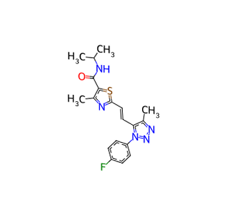 Cc1nc(C=Cc2c(C)nnn2-c2ccc(F)cc2)sc1C(=O)NC(C)C